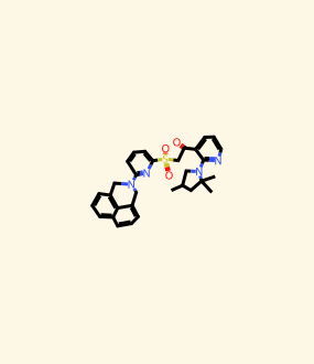 CC1CN(c2ncccc2C(=O)CS(=O)(=O)c2cccc(N3Cc4cccc5cccc(c45)C3)n2)C(C)(C)C1